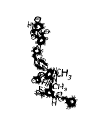 Cc1nc(N[C@H](C)c2cc(NC(=O)OCc3ccccc3)cc(C(F)(F)F)c2)c2cc(O[C@H]3CCOC3)c(N3CCN(CC4CCN(c5ccc6c(c5)C(=O)N(C5CCC(=O)NC5=O)C6=O)CC4)CC3)cc2n1